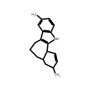 Cc1ccc2[nH]c3c(c2c1)CCCC1CC(C)C=CC31